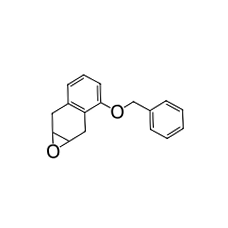 c1ccc(COc2cccc3c2CC2OC2C3)cc1